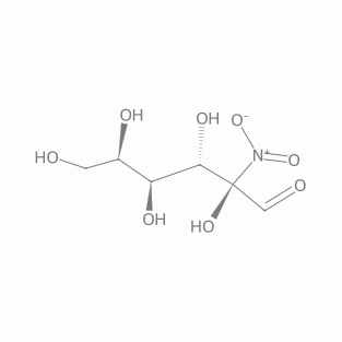 O=C[C@](O)([C@@H](O)[C@@H](O)[C@H](O)CO)[N+](=O)[O-]